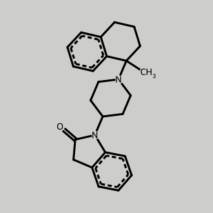 CC1(N2CCC(N3C(=O)Cc4ccccc43)CC2)CCCc2ccccc21